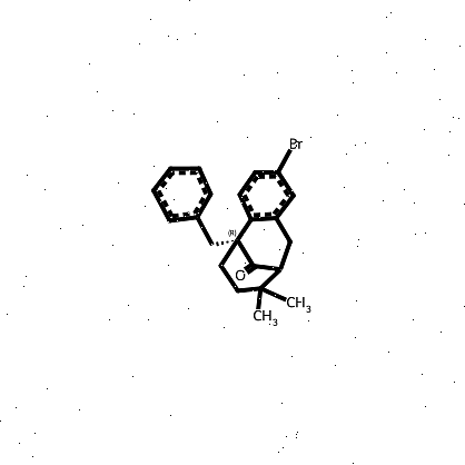 CC1(C)CC[C@]2(Cc3ccccc3)C(=O)C1Cc1cc(Br)ccc12